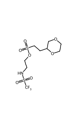 O=S(=O)(CCC1COCCO1)OCCNS(=O)(=O)C(F)(F)F